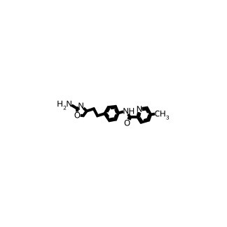 Cc1ccc(C(=O)Nc2ccc(CCC3COC(N)=N3)cc2)nc1